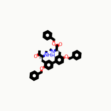 CN[C@@H](Cc1cc(-c2ccc(OCc3ccccc3)c(C[C@H](NC)C(=O)OCc3ccccc3)c2)ccc1OCc1ccccc1)C(C)=O